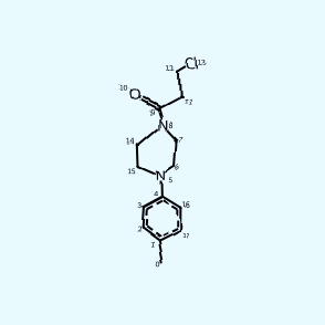 Cc1ccc(N2CCN(C(=O)CCCl)CC2)cc1